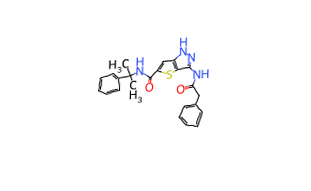 CC(C)(NC(=O)c1cc2[nH]nc(NC(=O)Cc3ccccc3)c2s1)c1ccccc1